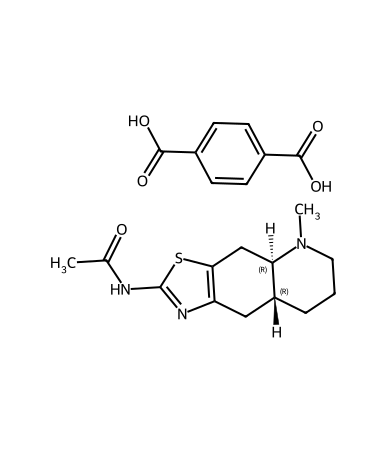 CC(=O)Nc1nc2c(s1)C[C@@H]1[C@H](CCCN1C)C2.O=C(O)c1ccc(C(=O)O)cc1